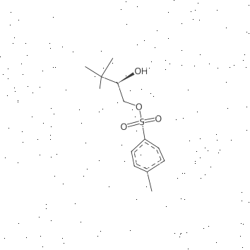 Cc1ccc(S(=O)(=O)OC[C@H](O)C(C)(C)C)cc1